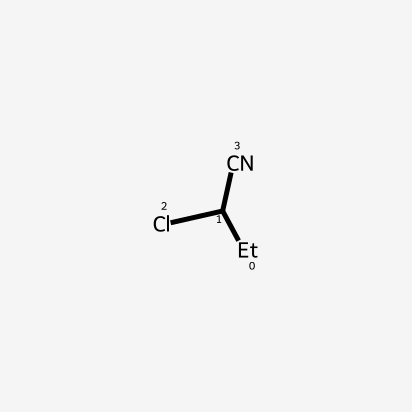 [CH2]CC(Cl)C#N